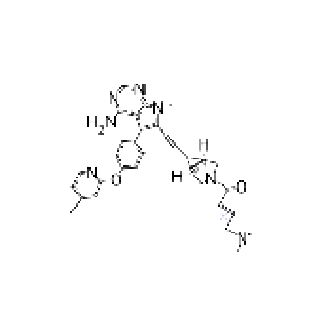 Cc1ccnc(Oc2ccc(-c3c(C#CC4[C@H]5CN(C(=O)/C=C/CN(C)C)C[C@@H]45)n(C)c4ncnc(N)c34)cc2)c1